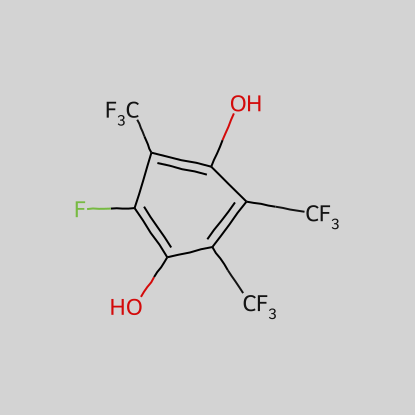 Oc1c(F)c(C(F)(F)F)c(O)c(C(F)(F)F)c1C(F)(F)F